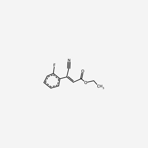 CCOC(=O)C=C(C#N)c1ccccc1F